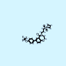 O=C1c2cc(-c3ccc(OC(F)(F)F)cc3)ccc2OCCN1CCCS(=O)(=O)N1CCC1